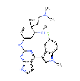 CCNC1C=C(Nc2nc(-c3cn(C)c4ccc(F)cc34)c3cc[nH]c3n2)C=CC1(CCN(C)C)NC